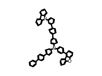 c1ccc(-c2ccc(-c3ccc(N(c4ccc(-c5ccc(-c6cccc(-n7c8ccccc8c8ccccc87)c6)cc5)cc4)c4ccc(-c5cccc6oc7ccccc7c56)cc4)cc3)cc2)cc1